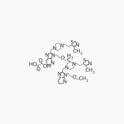 CCOCCn1c(CN2CCN(CCc3scnc3C)CC2)nc2cccnc21.CCOCCn1c(CN2CCN(CCc3scnc3C)CC2)nc2cccnc21.O=C(O)C(=O)O